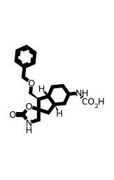 O=C(O)NC1CC[C@@H]2[C@@H](C1)CC1(CNC(=O)O1)[C@H]2COCc1ccccc1